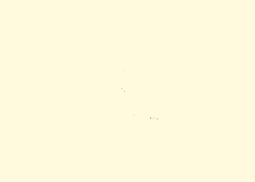 COC(=O)CN1CCCCC1=O